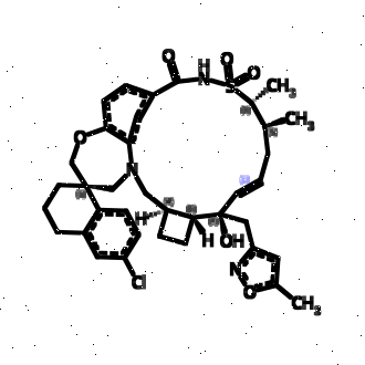 Cc1cc(C[C@@]2(O)/C=C/C[C@H](C)[C@@H](C)S(=O)(=O)NC(=O)c3ccc4c(c3)N(C[C@@H]3CC[C@H]32)C[C@@]2(CCCc3cc(Cl)ccc32)CO4)no1